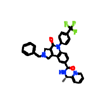 C[C@H](NC(=O)c1ccc2c(c1)c1c(c(=O)n2-c2ccc(C(F)(F)F)cc2)CN(Cc2ccccc2)C1)c1ccccn1